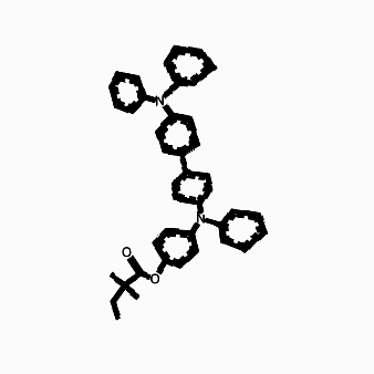 CCC(C)(C)C(=O)Oc1ccc(N(c2ccccc2)c2ccc(-c3ccc(N(c4ccccc4)c4ccccc4)cc3)cc2)cc1